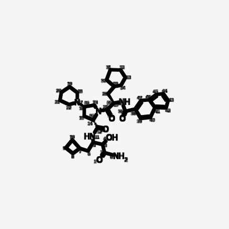 NC(=O)C(O)C(CC1CCC1)NC(=O)[C@@H]1C[C@@H](N2CCCCC2)CN1C(=O)[C@@H](CC1CCCCC1)NC(=O)c1ccc2ccccc2c1